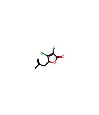 C=C(C)CC1OC(=O)C(Cl)=C1Cl